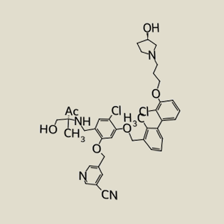 CC(=O)[C@](C)(CO)NCc1cc(Cl)c(OCc2cccc(-c3cccc(OCCCN4CC[C@@H](O)C4)c3Cl)c2C)cc1OCc1cncc(C#N)c1